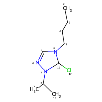 CCCCN1C=NN(C(C)C)C1Cl